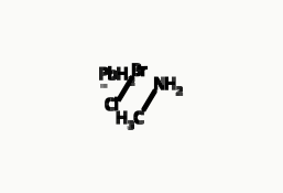 CN.ClBr.[PbH2]